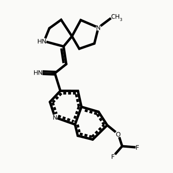 CN1CCC2(CCN/C2=C\C(=N)c2cnc3ccc(OC(F)F)cc3c2)C1